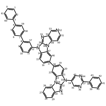 c1ccc(-c2ccc(-c3cccc(-n4c5ccc(-c6ccc7c(c6)n6c8ccccc8nc6n7-c6cnc(-c7ccccc7)nc6)cc5n5c6ccncc6nc45)c3)cc2)cc1